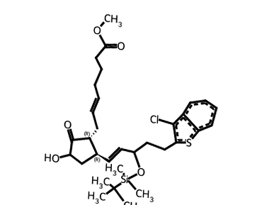 COC(=O)CCCC=CC[C@H]1C(=O)C(O)C[C@@H]1C=CC(CCc1sc2ccccc2c1Cl)O[Si](C)(C)C(C)(C)C